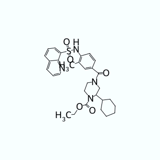 CCOC(=O)N1CCN(C(=O)c2ccc(NS(=O)(=O)c3cccc4cccnc34)c(C)c2)CC1C1CCCCC1